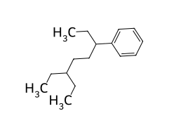 CCC(CC)CCC(CC)c1ccccc1